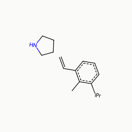 C1CCNC1.C=Cc1cccc(C(C)C)c1C